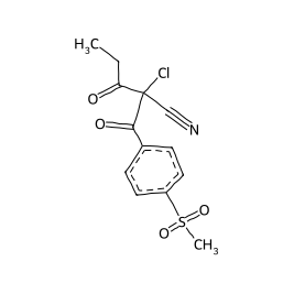 CCC(=O)C(Cl)(C#N)C(=O)c1ccc(S(C)(=O)=O)cc1